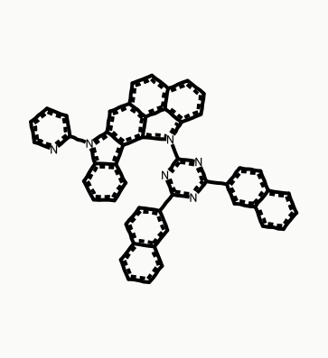 c1ccc(-n2c3ccccc3c3c2cc2ccc4cccc5c4c2c3n5-c2nc(-c3ccc4ccccc4c3)nc(-c3ccc4ccccc4c3)n2)nc1